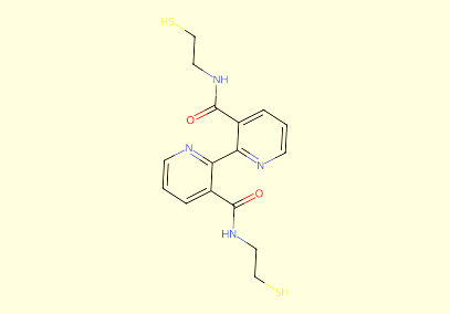 O=C(NCCS)c1cccnc1-c1ncccc1C(=O)NCCS